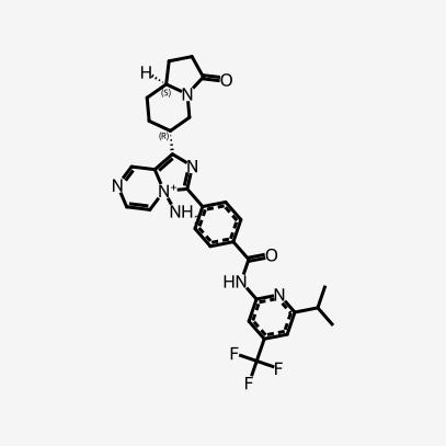 CC(C)c1cc(C(F)(F)F)cc(NC(=O)c2ccc(C3=NC([C@@H]4CC[C@H]5CCC(=O)N5C4)=C4C=NC=C[N+]34N)cc2)n1